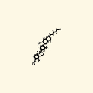 CCCCCCC1CCC2CC(c3c(F)cc(C(=O)Oc4ccc(C#N)c(F)c4)cc3F)CCC2C1